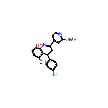 COc1cc(/C(CC(c2ccc(Br)cc2)c2ccccc2C)=N/O)ccn1